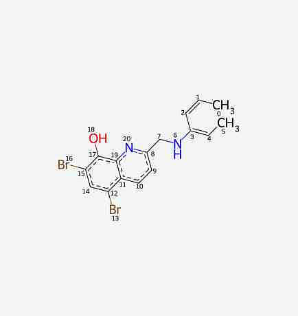 C/C=C\C(=C/C)NCc1ccc2c(Br)cc(Br)c(O)c2n1